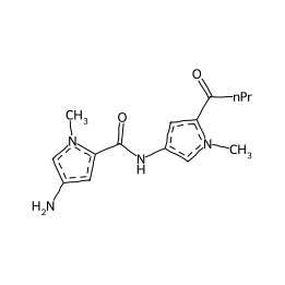 CCCC(=O)c1cc(NC(=O)c2cc(N)cn2C)cn1C